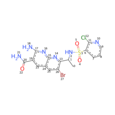 CC(NS(=O)(=O)c1cccnc1Cl)c1nc2nc(N)c(C(N)=O)cc2cc1Br